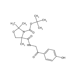 CC(C)(C)OC(=O)N1C(C)(C)OCC1(C)C(=O)NCC(=O)c1ccc(O)cc1